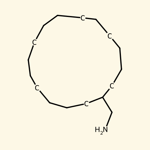 NCC1CCCCCCCCCCCCCCC1